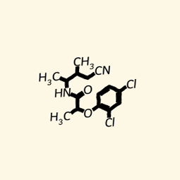 CC(Oc1ccc(Cl)cc1Cl)C(=O)NC(C)C(C)CC#N